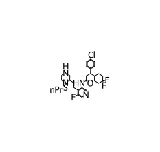 CCCSN1CCNCC1CCc1c(F)cncc1NC(=O)CC(c1ccc(Cl)cc1)C1CCC(F)(F)CC1